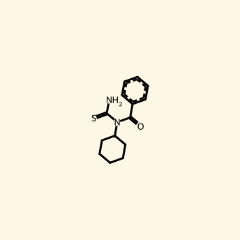 NC(=S)N([C]1CCCCC1)C(=O)c1ccccc1